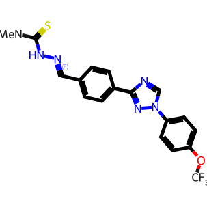 CNC(=S)N/N=C/c1ccc(-c2ncn(-c3ccc(OC(F)(F)F)cc3)n2)cc1